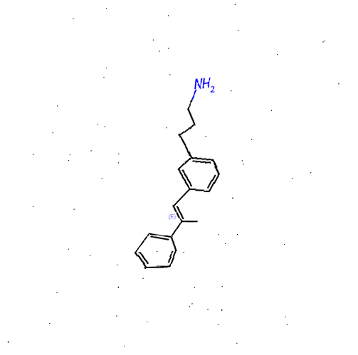 C/C(=C\c1cccc(CCCN)c1)c1ccccc1